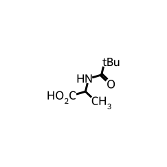 CC(NC(=O)C(C)(C)C)C(=O)O